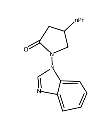 CCCC1CC(=O)N(n2cnc3ccccc32)C1